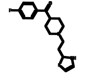 O=C(c1ccc(F)cc1)C1CCN(CCC2NC=CS2)CC1